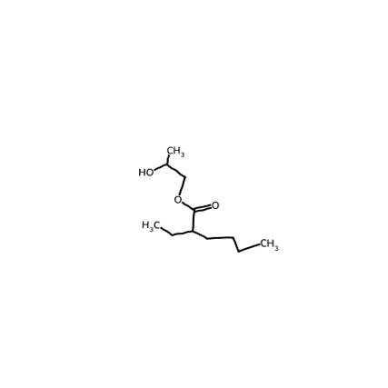 CCCCC(CC)C(=O)OCC(C)O